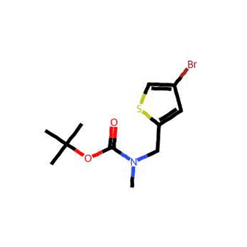 CN(Cc1cc(Br)cs1)C(=O)OC(C)(C)C